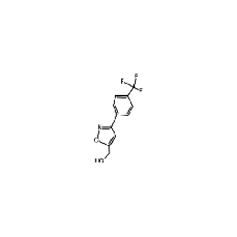 OCc1cc(-c2ccc(C(F)(F)F)cc2)no1